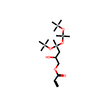 C=CC(=O)OCC(O)C[Si](C)(O[Si](C)(C)C)O[Si](C)(C)O[Si](C)(C)C